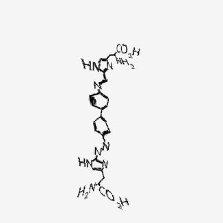 NC(Cc1c[nH]c(/C=N/c2ccc(-c3ccc(/N=N/c4nc(CC(N)C(=O)O)c[nH]4)cc3)cc2)n1)C(=O)O